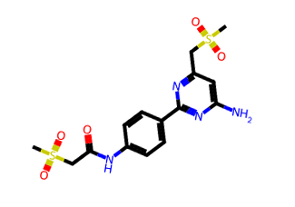 CS(=O)(=O)CC(=O)Nc1ccc(-c2nc(N)cc(CS(C)(=O)=O)n2)cc1